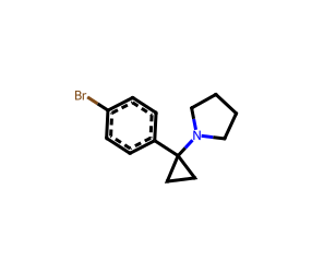 Brc1ccc(C2(N3CCCC3)CC2)cc1